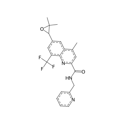 Cc1cc(C(=O)NCc2ccccn2)nc2c(C(F)(F)F)cc(C3OC3(C)C)cc12